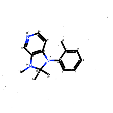 Cc1ccccc1N1c2ccncc2N(C)C1(C)C